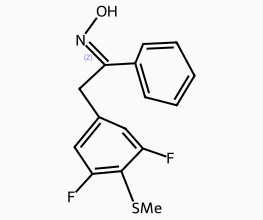 CSc1c(F)cc(C/C(=N/O)c2ccccc2)cc1F